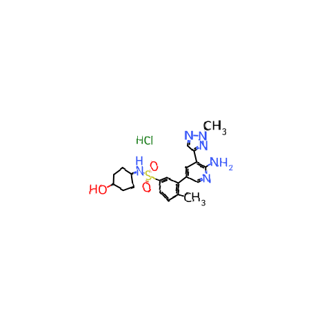 Cc1ccc(S(=O)(=O)NC2CCC(O)CC2)cc1-c1cnc(N)c(-c2cnn(C)n2)c1.Cl